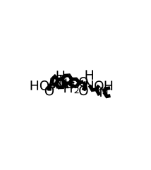 CCN(CC)CC(O)CNC(=O)OC1CC[C@@]2(C)C(CC[C@@H]3[C@H]2CC[C@]2(C)C(C(=O)O)CC[C@@]32N)C1